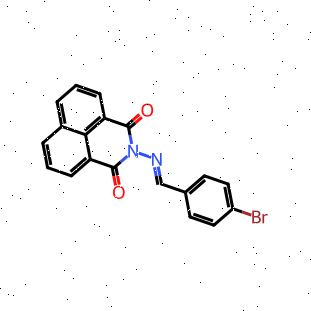 O=C1c2cccc3cccc(c23)C(=O)N1N=Cc1ccc(Br)cc1